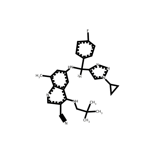 [2H]C(Nc1cc(C)c2ncc(C#N)c(NCC(C)(C)C)c2c1)(c1ccc(F)cc1)c1cn(C2CC2)nn1